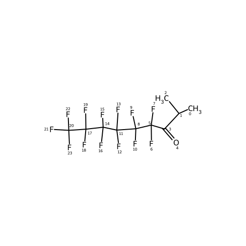 CC(C)C(=O)C(F)(F)C(F)(F)C(F)(F)C(F)(F)C(F)(F)C(F)(F)F